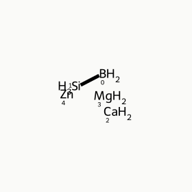 B[SiH3].[CaH2].[MgH2].[Zn]